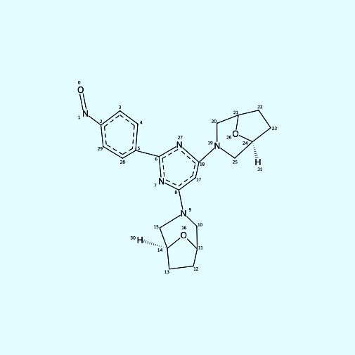 O=Nc1ccc(-c2nc(N3CC4CC[C@@H](C3)O4)cc(N3CC4CC[C@@H](C3)O4)n2)cc1